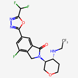 O=C1c2cc(-c3nnc(C(F)F)o3)cc(F)c2CN1[C@@H]1COCC[C@H]1NCC(F)(F)F